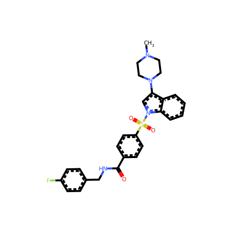 CN1CCN(c2cn(S(=O)(=O)c3ccc(C(=O)NCc4ccc(F)cc4)cc3)c3ccccc23)CC1